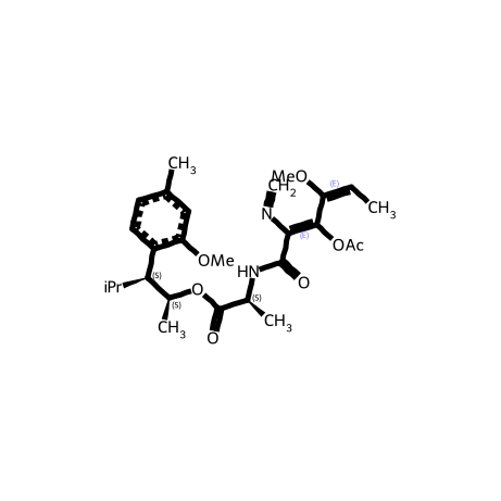 C=N/C(C(=O)N[C@@H](C)C(=O)O[C@@H](C)[C@H](c1ccc(C)cc1OC)C(C)C)=C(OC(C)=O)\C(=C/C)OC